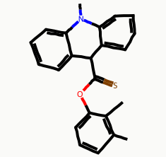 Cc1cccc(OC(=S)C2c3ccccc3N(C)c3ccccc32)c1C